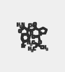 CC(C)(C)OC(=O)N1CCCC1C(=O)NC(C)(C(N)=O)c1ccc(Br)cc1